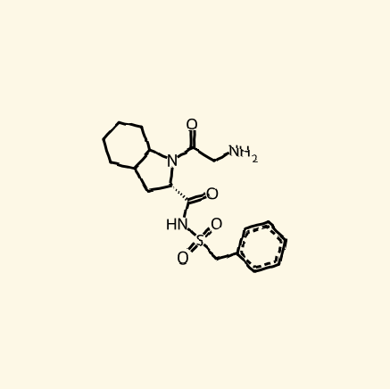 NCC(=O)N1C2CCCCC2C[C@H]1C(=O)NS(=O)(=O)Cc1ccccc1